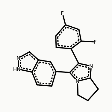 Fc1ccc(-c2nc3n(c2-c2ccc4[nH]ncc4c2)CCC3)c(F)c1